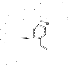 C=Cc1ccccc1C=C.CCO